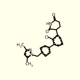 Cc1cc(C)n(Cc2ccc(-c3cccc(C4CCC(=O)NC4=O)c3Cl)cc2)n1